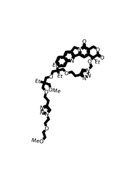 CCC(CC)(COCCc1cn(CO[C@]2(CC)C(=O)OCc3c2cc2n(c3=O)Cc3cc4ccccc4nc3-2)nn1)COCC(CC)(COC)COCCc1cn(CCOCCOC)nn1